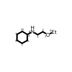 CCOCCNC1CCCCC1